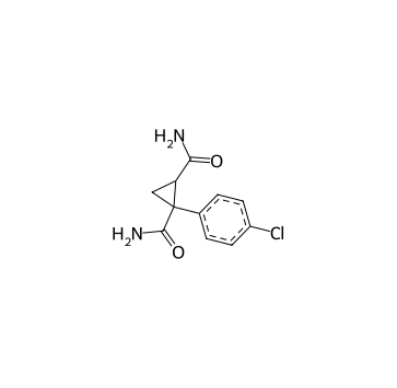 NC(=O)C1CC1(C(N)=O)c1ccc(Cl)cc1